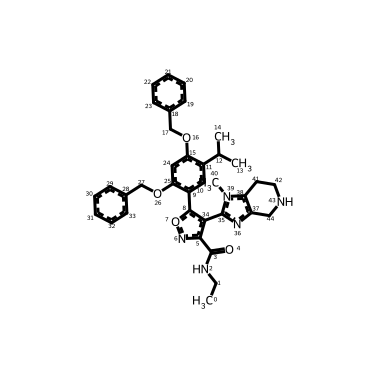 CCNC(=O)c1noc(-c2cc(C(C)C)c(OCc3ccccc3)cc2OCc2ccccc2)c1-c1nc2c(n1C)CCNC2